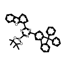 CC1(C)OB(c2nc(-c3ccc4c(c3)-c3ccccc3C4(c3ccccc3)c3ccccc3)nc(-c3cccc4c3oc3ccccc34)n2)OC1(C)C